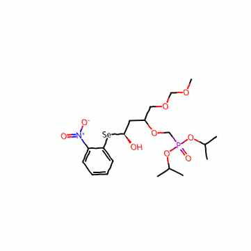 COCOCC(C[C@@H](O)[Se]c1ccccc1[N+](=O)[O-])OCP(=O)(OC(C)C)OC(C)C